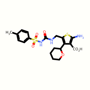 Cc1ccc(S(=O)(=O)NC(=O)NCc2sc(N)c(C(=O)O)c2C2CCCCO2)cc1